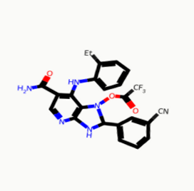 CCc1ccccc1Nc1c(C(N)=O)cnc2c1N(OC(=O)C(F)(F)F)C(c1cccc(C#N)c1)N2